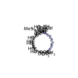 CSCCNC(=O)C([C@@H]1CC(O[C@@H]2OC[C@@H](O)[C@H](N)[C@@H]2O)/C=C/C=C/C=C/C=C/C=C/C=C/C=C/[C@H](C)[C@@H](O)C[C@H](C)OC(=O)CC(O)CC(O)CCC(O)C(O)CC(O)CCO1)[C@@H](O)CCO